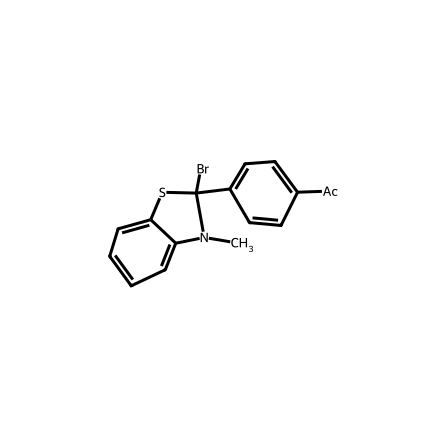 CC(=O)c1ccc(C2(Br)Sc3ccccc3N2C)cc1